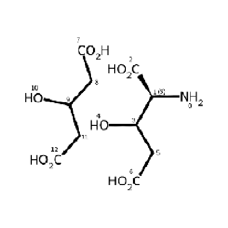 N[C@H](C(=O)O)C(O)CC(=O)O.O=C(O)CC(O)CC(=O)O